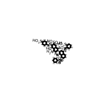 Nc1c(N=Nc2ccc(N=Nc3ccccc3S(=O)(=O)O)c3cccc(OS(=O)(=O)c4ccccc4)c23)cc(S(=O)(=O)O)c2cc(S(=O)(=O)O)c(N=Nc3ccc(S(=O)(=O)O)cc3[N+](=O)[O-])c(O)c12